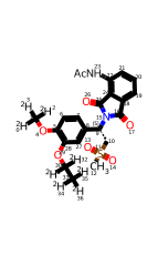 [2H]C([2H])([2H])Oc1ccc([C@@H](CS(C)(=O)=O)N2C(=O)c3cccc(NC(C)=O)c3C2=O)cc1OC([2H])([2H])C([2H])([2H])[2H]